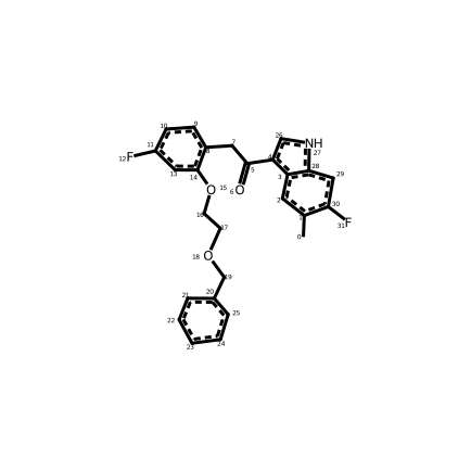 Cc1cc2c(C(=O)Cc3ccc(F)cc3OCCOCc3ccccc3)c[nH]c2cc1F